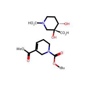 COC(=O)C1=CCCN(C(=O)OC(C)(C)C)C1.O=C(O)N1CC[C@H](O)[C@@](O)(C(=O)O)C1